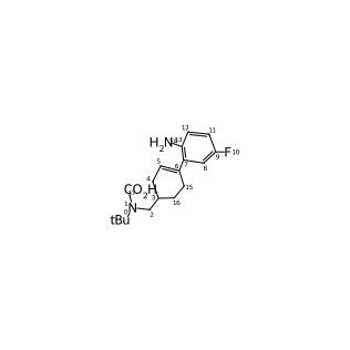 CC(C)(C)N(CC1CC=C(c2cc(F)ccc2N)CC1)C(=O)O